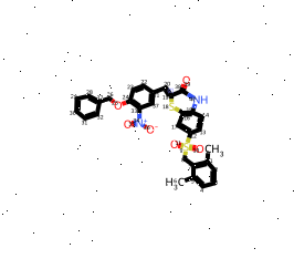 Cc1cccc(C)c1CS(=O)(=O)c1ccc2c(c1)S/C(=C\c1ccc(OCc3ccccc3)c([N+](=O)[O-])c1)C(=O)N2